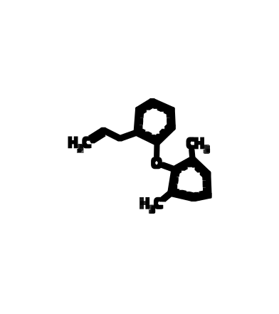 C=CCc1ccccc1Oc1c(C)cccc1C